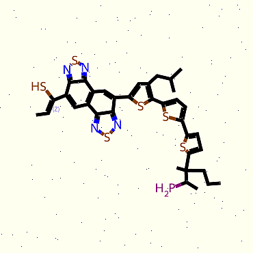 C/C=C(\S)c1cc2c(cc(-c3cc(CC(C)C)c(-c4ccc(-c5ccc(C(C)(CCC)C(C)P)s5)s4)s3)c3nsnc32)c2nsnc12